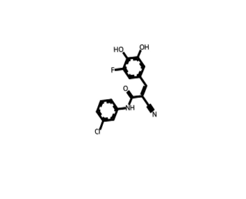 N#CC(=Cc1cc(O)c(O)c(F)c1)C(=O)Nc1cccc(Cl)c1